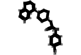 O=C(C[C@H]1CC[C@@H](c2cccc3ccncc32)CC1)Nc1ccc(Cl)cc1